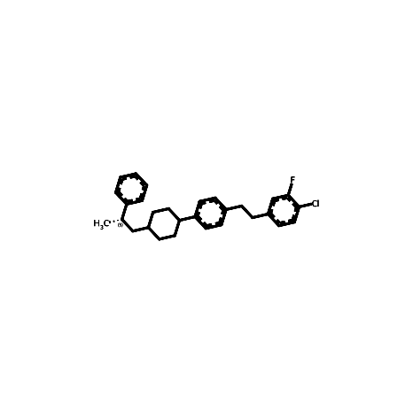 C[C@@H](CC1CCC(c2ccc(CCc3ccc(Cl)c(F)c3)cc2)CC1)c1ccccc1